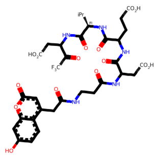 CC(C)[C@@H](NC(=O)C(CCC(=O)O)NC(=O)C(CC(=O)O)NC(=O)CCNC(=O)Cc1cc(=O)oc2cc(O)ccc12)C(=O)NC(CC(=O)O)C(=O)C(F)(F)F